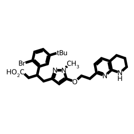 Cn1nc(CC(CC(=O)O)c2cc(C(C)(C)C)ccc2Br)cc1OCCc1ccc2c(n1)NCCC2